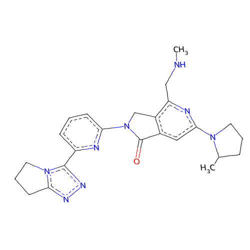 CNCc1nc(N2CCCC2C)cc2c1CN(c1cccc(-c3nnc4n3CCC4)n1)C2=O